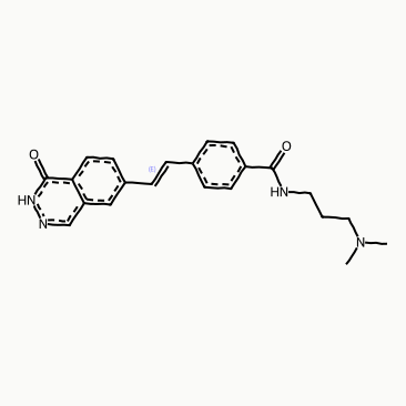 CN(C)CCCNC(=O)c1ccc(/C=C/c2ccc3c(=O)[nH]ncc3c2)cc1